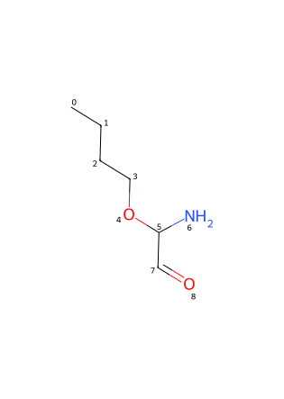 CCCCOC(N)C=O